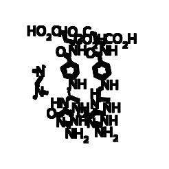 CN(C)CCN(C)C.Nc1nc(=O)c2c([nH]1)NC[C@@H](CNc1ccc(C(=O)N[C@@H](CCC(=O)O)C(=O)O)cc1)N2.Nc1nc(=O)c2c([nH]1)NC[C@@H](CNc1ccc(C(=O)N[C@@H](CCC(=O)O)C(=O)O)cc1)N2